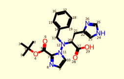 CC(C)(C)OC(=O)c1nccn1N(Cc1ccccc1)[C@@H](Cc1c[nH]cn1)C(=O)O